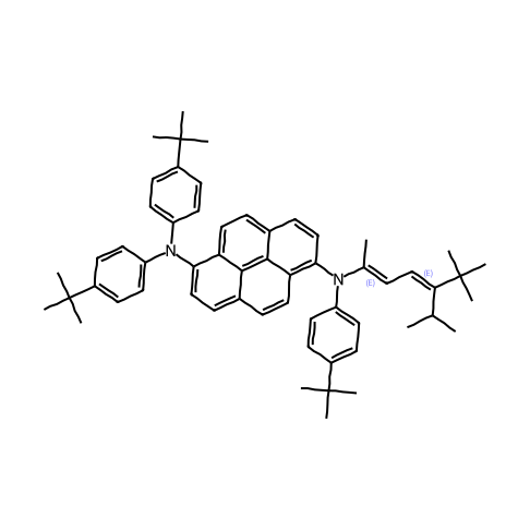 C/C(=C\C=C(/C(C)C)C(C)(C)C)N(c1ccc(C(C)(C)C)cc1)c1ccc2ccc3c(N(c4ccc(C(C)(C)C)cc4)c4ccc(C(C)(C)C)cc4)ccc4ccc1c2c43